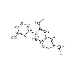 COC(=O)C(Nc1ccc(OC)cc1)c1cccc(Cl)c1